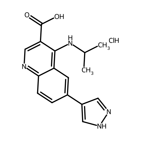 CC(C)Nc1c(C(=O)O)cnc2ccc(-c3cn[nH]c3)cc12.Cl